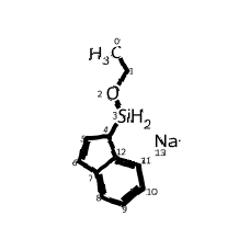 CCO[SiH2]C1C=Cc2ccccc21.[Na]